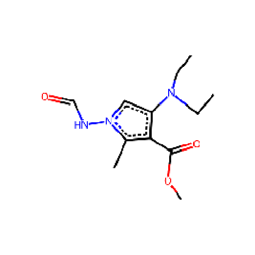 CCN(CC)c1cn(NC=O)c(C)c1C(=O)OC